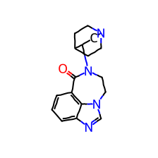 O=C1c2cccc3ncn(c23)CCN1C1CN2CCC1CC2